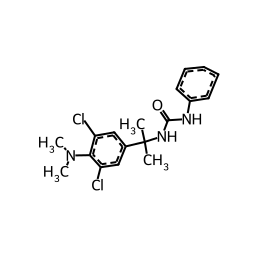 CN(C)c1c(Cl)cc(C(C)(C)NC(=O)Nc2ccccc2)cc1Cl